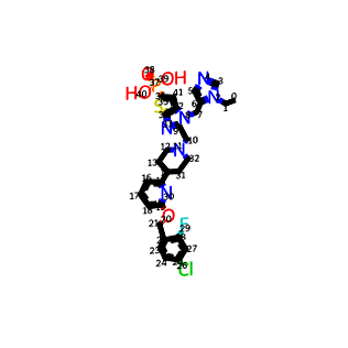 CCn1cncc1Cn1c(CN2CCC(c3cccc(OCc4ccc(Cl)cc4F)n3)CC2)nc2sc(P(=O)(O)O)cc21